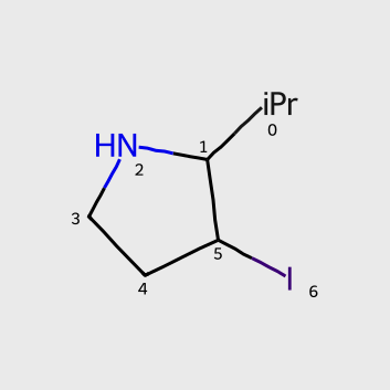 CC(C)C1NCCC1I